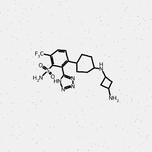 NC1CC(NC2CCC(c3ccc(C(F)(F)F)c(S(N)(=O)=O)c3-c3nnn[nH]3)CC2)C1